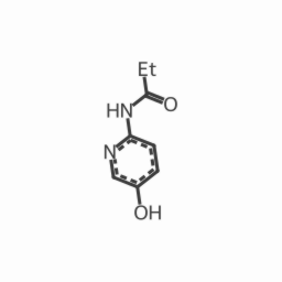 CCC(=O)Nc1ccc(O)cn1